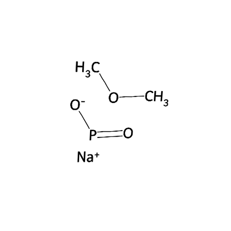 COC.O=P[O-].[Na+]